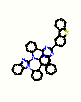 c1ccc(-c2nc(-c3ccc4sc5ccccc5c4c3)nc(-c3ccccc3N3c4ccccc4-c4ccccc4-n4c3nc3ccccc34)n2)cc1